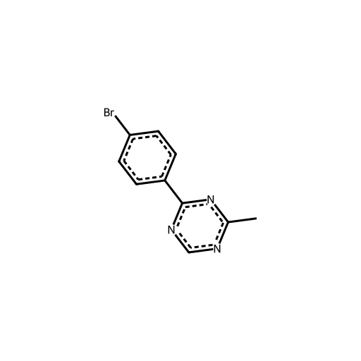 Cc1ncnc(-c2ccc(Br)cc2)n1